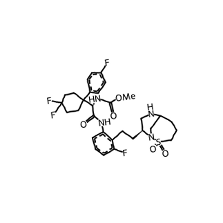 COC(=O)N[C@H](C(=O)Nc1cccc(F)c1CC[C@H]1CNC2CCCS(=O)(=O)N1C2)C1(c2ccc(F)cc2)CCC(F)(F)CC1